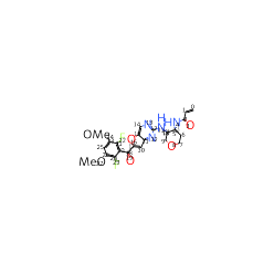 C=CC(=O)N[C@H]1CCOC[C@H]1Nc1ncc2oc(C(=O)c3c(F)c(OC)cc(OC)c3F)cc2n1